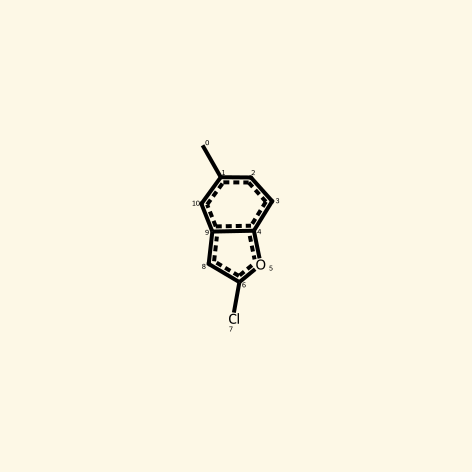 Cc1ccc2oc(Cl)cc2c1